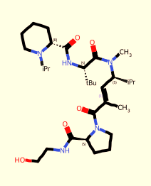 C/C(=C\[C@H](C(C)C)N(C)C(=O)[C@@H](NC(=O)[C@H]1CCCCN1C(C)C)C(C)(C)C)C(=O)N1CCC[C@H]1C(=O)NCCO